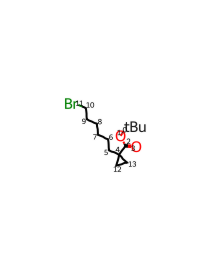 CC(C)(C)OC(=O)C1(CCCCCCBr)CC1